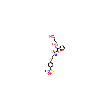 O=C(NCCOc1ccc(C(=S)NO)cc1)c1oc2ccccc2c1CS(=O)(=O)CCCO